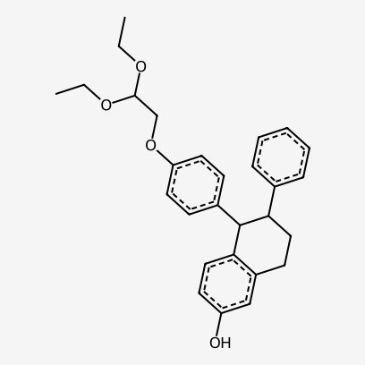 CCOC(COc1ccc(C2c3ccc(O)cc3CCC2c2ccccc2)cc1)OCC